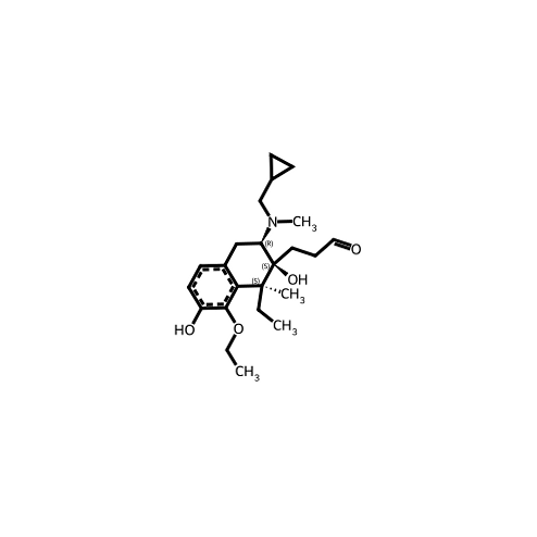 CCOc1c(O)ccc2c1[C@](C)(CC)[C@@](O)(CCC=O)[C@H](N(C)CC1CC1)C2